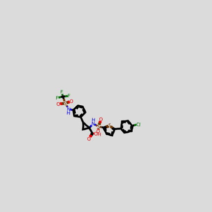 O=C(O)C1(NS(=O)(=O)c2ccc(-c3ccc(Cl)cc3)s2)CC1c1cccc(NS(=O)(=O)C(F)(F)F)c1